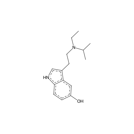 CCN(CCc1c[nH]c2ccc(O)cc12)C(C)C